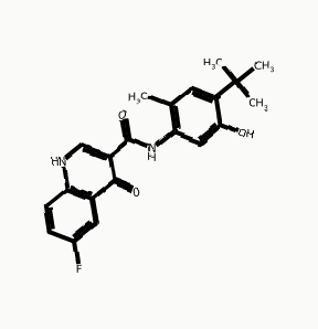 Cc1cc(C(C)(C)C)c(O)cc1NC(=O)c1c[nH]c2ccc(F)cc2c1=O